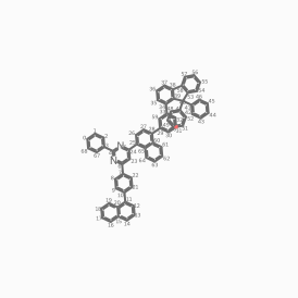 c1ccc(-c2nc(-c3ccc(-c4cccc5ccccc45)cc3)cc(-c3ccc(-c4cccc(-c5cccc6c5C(c5ccccc5)(c5ccccc5)c5ccccc5-6)c4)c4ccccc34)n2)cc1